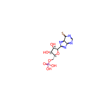 O=P(O)(O)OC[C@H]1OC(C2=NC3=NC=NC(=S)C3=N2)[C@H](O)[C@@H]1O